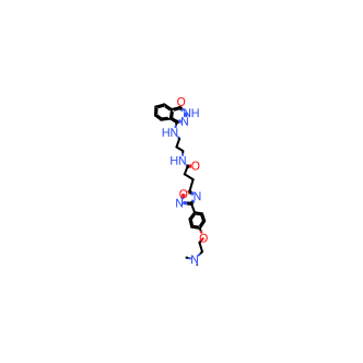 CN(C)CCOc1ccc(-c2noc(CCC(=O)NCCCNc3n[nH]c(=O)c4ccccc34)n2)cc1